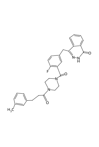 Cc1cccc(CCC(=O)N2CCN(C(=O)c3cc(Cc4n[nH]c(=O)c5ccccc45)ccc3F)CC2)c1